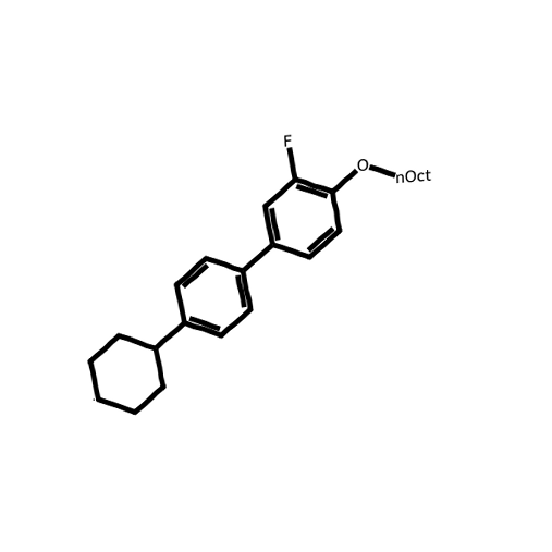 CCCCCCCCOc1ccc(-c2ccc(C3CC[CH]CC3)cc2)cc1F